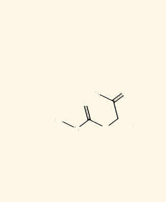 CC(C)[C@H](OC(=O)NC(C)(C)C)C(N)=O